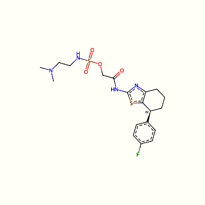 CN(C)CCNS(=O)(=O)OCC(=O)Nc1nc2c(s1)[C@H](c1ccc(F)cc1)CCC2